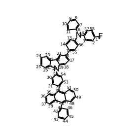 Fc1ccc(N(c2ccccc2)c2ccc(-c3ccc4c(c3)c3ccccc3n4-c3ccc(-c4c5ccccc5c(-c5ccccc5)c5ccccc45)cc3)cc2)cc1